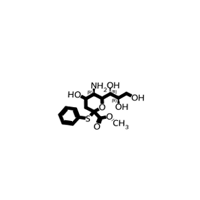 COC(=O)C1(Sc2ccccc2)CC(O)[C@@H](N)C([C@H](O)[C@H](O)CO)O1